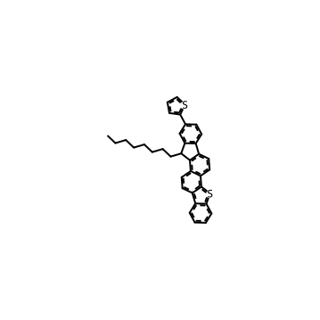 CCCCCCCCC1c2cc(-c3cccs3)ccc2-c2ccc3c(ccc4c5ccccc5sc34)c21